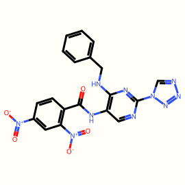 O=C(Nc1cnc(-n2cnnn2)nc1NCc1ccccc1)c1ccc([N+](=O)[O-])cc1[N+](=O)[O-]